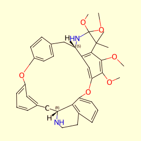 COc1c2cc3c(c1OC)C(C)(C)C(OC)(OC)N[C@H]3Cc1ccc(cc1)Oc1cccc(c1)C[C@H]1NCCc3cccc(c31)O2